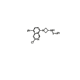 CCCSNC1CN(c2ccc(C(C)C)c3cc(Cl)ncc23)C1